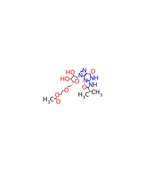 CC(=O)OCCOCC[C@H]1O[C@@H](n2cnc3c(=O)[nH]c(NC(=O)C(C)C)nc32)[C@H](O)[C@@H]1O